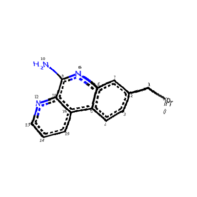 CC(C)Cc1ccc2c(c1)nc(N)c1ncccc12